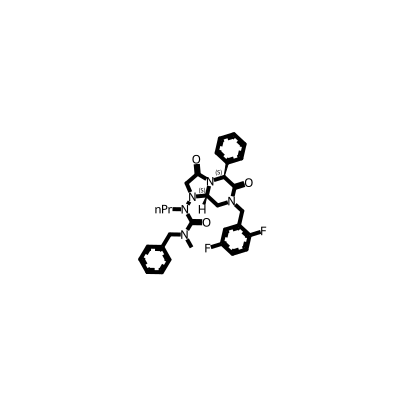 CCCN(C(=O)N(C)Cc1ccccc1)N1CC(=O)N2[C@@H](c3ccccc3)C(=O)N(Cc3cc(F)ccc3F)C[C@@H]21